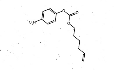 C=CCCCCOC(=O)Oc1ccc([N+](=O)[O-])cc1